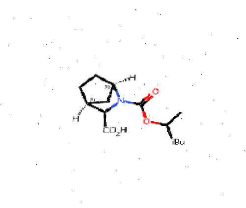 CCC(C)C(C)OC(=O)N1C(C(=O)O)[C@H]2CC[C@@H]1C2